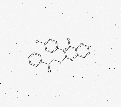 O=C(CSc1nc2cccnc2c(=O)n1-c1ccc(Cl)cc1)c1ccccc1